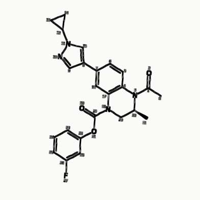 CC(=O)N1c2ccc(-c3cnn(C4CC4)c3)cc2N(C(=O)Oc2cccc(F)c2)C[C@@H]1C